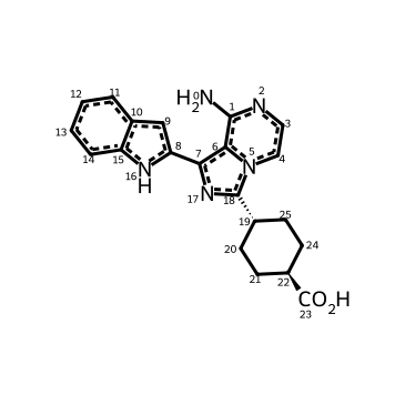 Nc1nccn2c1c(-c1cc3ccccc3[nH]1)nc2[C@H]1CC[C@H](C(=O)O)CC1